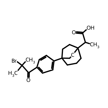 CC(C(=O)O)C12CCCC(c3ccc(C(=O)C(C)(C)Br)cc3)(CC1)CC2